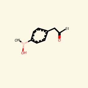 CCC(=O)Cc1ccc(B(O)N=O)cc1